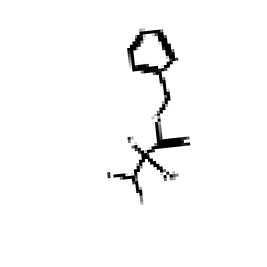 O=C(OCc1ccccc1)C(O)(F)C(F)F